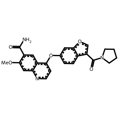 COc1cc2nccc(Oc3ccc4c(C(=O)N5CCCC5)coc4c3)c2cc1C(N)=O